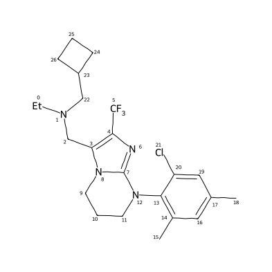 CCN(Cc1c(C(F)(F)F)nc2n1CCCN2c1c(C)cc(C)cc1Cl)CC1CCC1